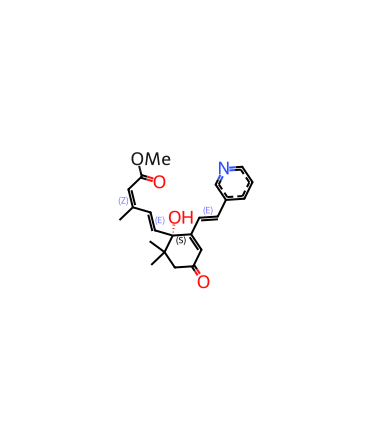 COC(=O)/C=C(C)\C=C\[C@@]1(O)C(/C=C/c2cccnc2)=CC(=O)CC1(C)C